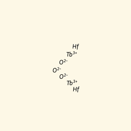 [Hf].[Hf].[O-2].[O-2].[O-2].[Tb+3].[Tb+3]